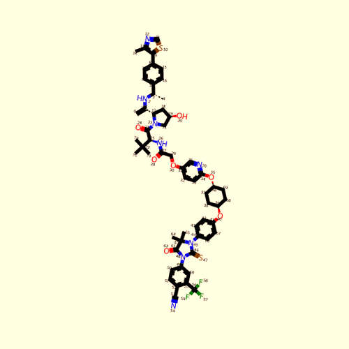 C=C(N[C@@H](C)c1ccc(-c2scnc2C)cc1)[C@@H]1C[C@@H](O)CN1C(=O)[C@@H](NC(=O)COc1ccc(O[C@H]2CC[C@H](Oc3ccc(N4C(=S)N(c5ccc(C#N)c(C(F)(F)F)c5)C(=O)C4(C)C)cc3)CC2)nc1)C(C)(C)C